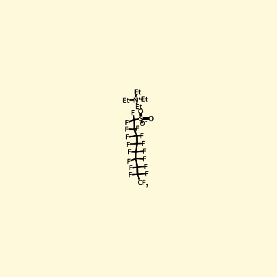 CC[N+](CC)(CC)CC.O=S(=O)([O-])C(F)(F)C(F)(F)C(F)(F)C(F)(F)C(F)(F)C(F)(F)C(F)(F)C(F)(F)C(F)(F)F